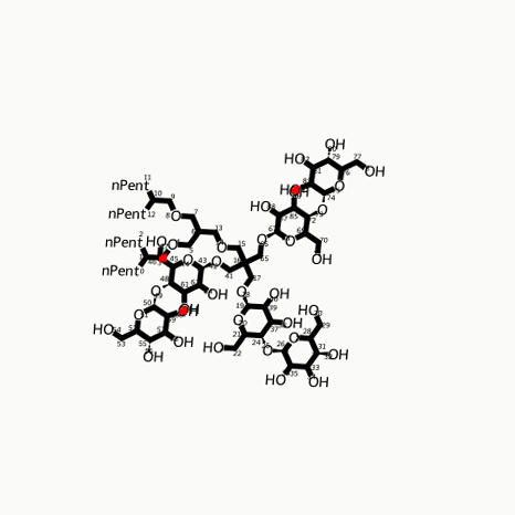 CCCCCC(CCCCC)COCC(COCC(CCCCC)CCCCC)COCC(CO[C@@H]1OC(CO)[C@@H](O[C@H]2OC(CO)[C@@H](O)C(O)C2O)C(O)C1O)(CO[C@@H]1OC(CO)[C@@H](O[C@H]2OC(CO)[C@@H](O)C(O)C2O)C(O)C1O)CO[C@@H]1OC(CO)[C@H](O[C@H]2OC(CO)[C@@H](O)C(O)C2O)C(O)C1O